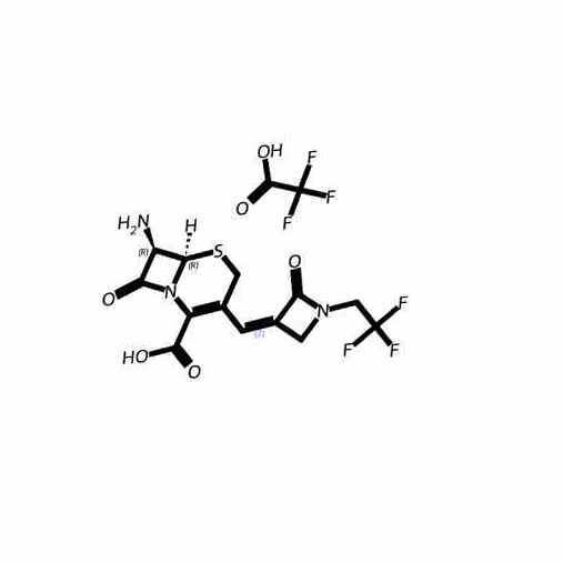 N[C@@H]1C(=O)N2C(C(=O)O)=C(/C=C3/CN(CC(F)(F)F)C3=O)CS[C@H]12.O=C(O)C(F)(F)F